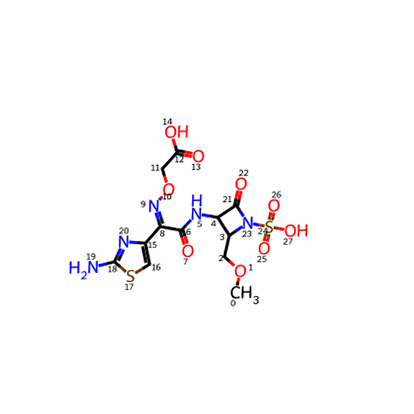 COCC1C(NC(=O)/C(=N\OCC(=O)O)c2csc(N)n2)C(=O)N1S(=O)(=O)O